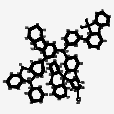 CC1(C)c2ccccc2-c2cccc(-c3cccc(N(c4ccc5c(c4)C4(c6ccccc6Oc6ccccc64)c4cc(Cl)ccc4-5)c4cc(-c5ccc6c(c5)Sc5ccccc5N6c5ccccc5)c5oc6ccccc6c5c4)c3)c21